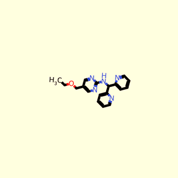 CCOCc1cnc(NC(c2ccccn2)c2ccccn2)nc1